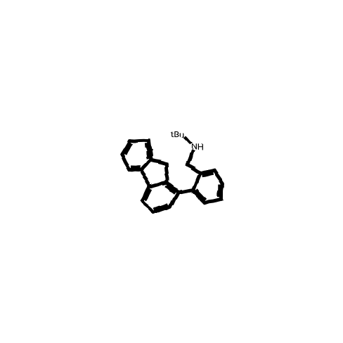 CC(C)(C)NCc1ccccc1-c1cccc2c1Cc1ccccc1-2